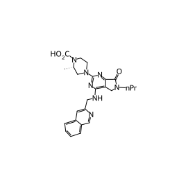 CCCN1Cc2c(NCc3cc4ccccc4cn3)nc(N3CCN(C(=O)O)[C@@H](C)C3)nc2C1=O